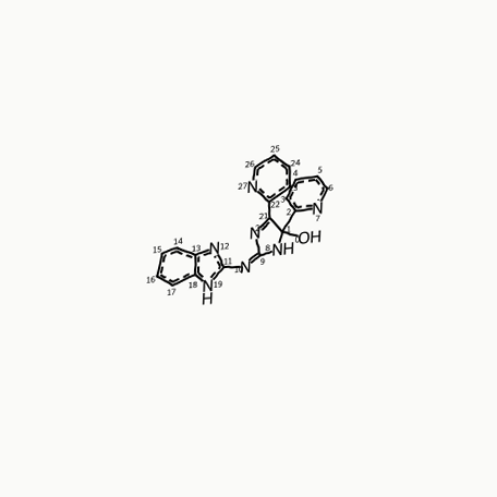 OC1(c2ccccn2)N/C(=N/c2nc3ccccc3[nH]2)N=C1c1ccccn1